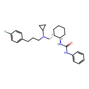 O=C(Nc1ccccc1)N[C@@H]1CCCC[C@H]1CN(CCCc1ccc(F)cc1)C1CC1